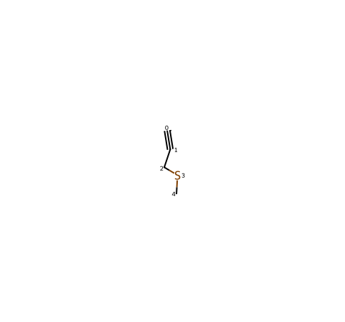 [C]#CCSC